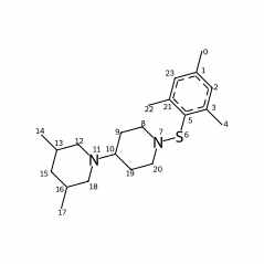 Cc1cc(C)c(SN2CCC(N3CC(C)CC(C)C3)CC2)c(C)c1